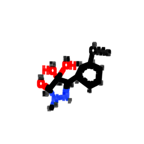 COc1cccc(C2=NN(C)C(=O)C2(O)O)c1